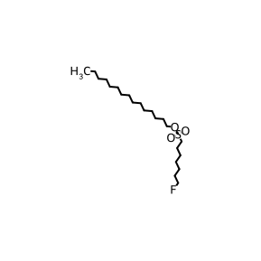 CCCCCCCCCCCCCCCOS(=O)(=O)CCCCCCCF